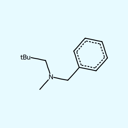 CN(Cc1ccccc1)CC(C)(C)C